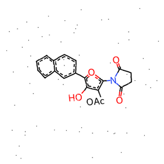 CC(=O)Oc1c(N2C(=O)CCC2=O)oc(-c2ccc3ccccc3c2)c1O